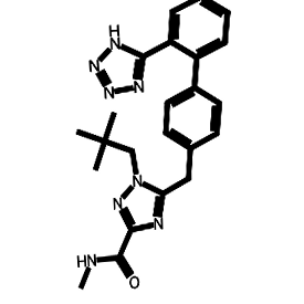 CNC(=O)c1nc(Cc2ccc(-c3ccccc3-c3nnn[nH]3)cc2)n(CC(C)(C)C)n1